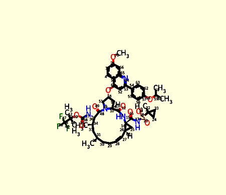 COc1ccc2c(O[C@@H]3C[C@H]4C(=O)N[C@]5(C(=O)NS(=O)(=O)C6(C)CC6)C[C@H]5C=CCC[C@@H](C)C[C@@H](C)[C@H](NC(=O)OC(C)(C)C(F)(F)F)C(=O)N4C3)cc(-c3ccc(OC(C)C)cc3)nc2c1